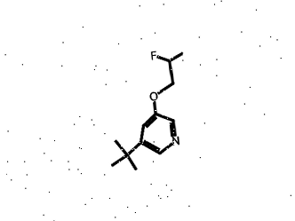 CC(F)COc1cncc(C(C)(C)C)c1